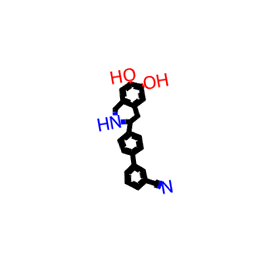 N#Cc1cccc(-c2ccc(C3Cc4cc(O)c(O)cc4CN3)cc2)c1